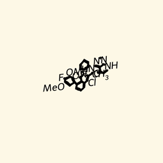 COc1cc(-c2cccc3c(Cl)c([C@H](C)Nc4ncnc5[nH]ccc(=O)c45)n(-c4ccccc4)c(=O)c23)cc(OC)c1F